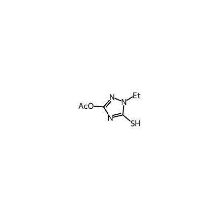 CCn1nc(OC(C)=O)nc1S